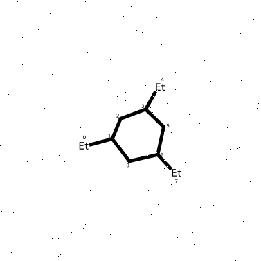 CCC1CC(CC)CC(CC)C1